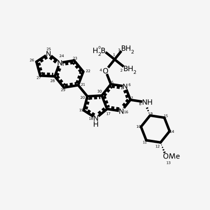 BC(B)(B)Oc1nc(N[C@H]2CC[C@@H](OC)CC2)nc2[nH]cc(-c3ccn4nccc4c3)c12